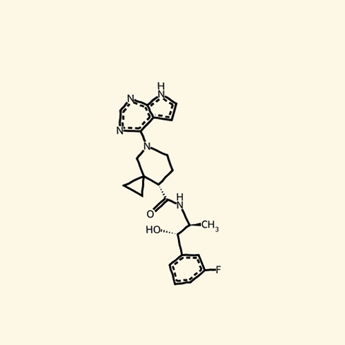 C[C@H](NC(=O)[C@H]1CCN(c2ncnc3[nH]ccc23)CC12CC2)[C@@H](O)c1cccc(F)c1